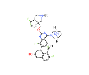 C#Cc1c(F)ccc2cc(O)cc(-c3c(F)cc4c(N5C[C@H]6CC[C@@H](C5)N6)nc(OCC5(C)CN(CC)CCC5C(F)F)nc4c3F)c12